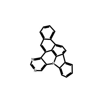 c1ccc2c(c1)cc1c3ncncc3n3c4ccccc4c4ccc2c1c43